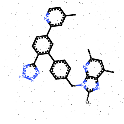 CCc1nc2c(C)cc(C)nc2n1Cc1ccc(-c2cc(-c3cc(C)ccn3)ccc2-c2nn[nH]n2)cc1